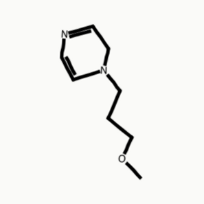 COCCCN1C=CN=CC1